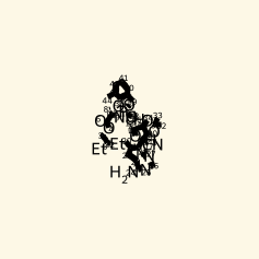 CCC(CC)COC(=O)[C@H](C)NP(=O)(OC[C@H]1O[C@@](C#N)(C2C(C)C=C3C(N)=NC=NN32)[C@@H]2OC(C)(C)O[C@@H]21)Oc1c(C)cccc1C